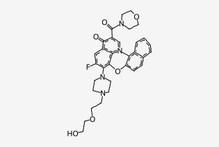 O=C(c1cn2c3c(c(N4CCN(CCOCCO)CC4)c(F)cc3c1=O)Oc1ccc3ccccc3c1-2)N1CCOCC1